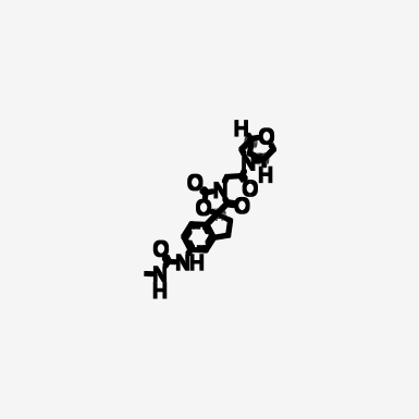 CNC(=O)Nc1ccc2c(c1)CC[C@]21OC(=O)N(CC(=O)N2C[C@H]3C[C@@H]2CO3)C1=O